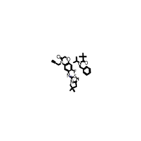 C#CCN1C(=O)COc2cc(F)c(/N=c3\snc4n3CC(C)(C)C4)cc21.CC(C)N(Cc1ccccc1)C(=O)C(C)(C)C